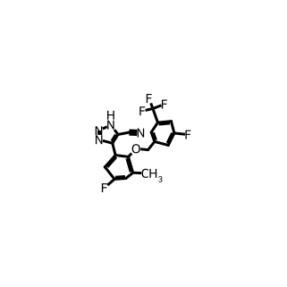 Cc1cc(F)cc(-c2nn[nH]c2C#N)c1OCc1cc(F)cc(C(F)(F)F)c1